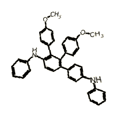 COc1ccc(-c2c(Nc3ccccc3)ccc(-c3ccc(Nc4ccccc4)cc3)c2-c2ccc(OC)cc2)cc1